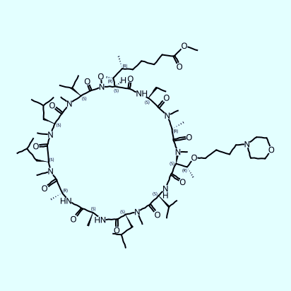 CC[C@@H]1NC(=O)[C@@H]2[C@@H]([C@H](C)CCCCC(=O)OC)ON2C(=O)[C@H](C(C)C)N(C)C(=O)[C@H](CC(C)C)N(C)C(=O)[C@H](CC(C)C)N(C)C(=O)[C@@H](C)NC(=O)[C@H](C)NC(=O)[C@H](CC(C)C)N(C)C(=O)[C@H](C(C)C)NC(=O)[C@H]([C@@H](C)OCCCCN2CCOCC2)N(C)C(=O)[C@@H](C)N(C)C1=O